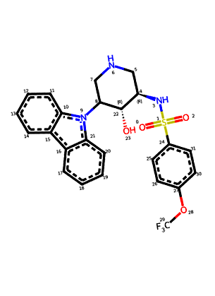 O=S(=O)(N[C@@H]1CNCC(n2c3ccccc3c3ccccc32)[C@H]1O)c1ccc(OC(F)(F)F)cc1